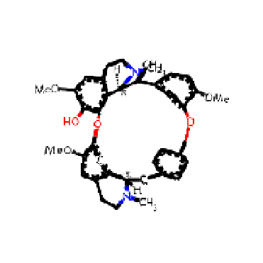 C=C1c2ccc(OC)c(c2)Oc2ccc(cc2)C[C@H]2c3cc(c(OC)cc3CCN2C)Oc2c(O)c(OC)cc3c2[C@H]1N(C)CC3